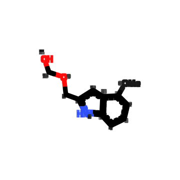 COc1cccc2[nH]c(COCO)cc12